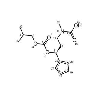 CC(C)COC(=O)O[C@@H](CCN(C)C(=O)O)c1cccs1